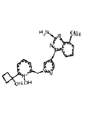 COc1cccc2c(-c3cnn(Cc4cccc(C5(O)CCC5)[n+]4O)c3)nc(N)nc12